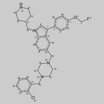 FCOc1ccc(-c2cn(CC3CCNCC3)c3ccc(CN4CCN(Cc5ccccc5Cl)CC4)cc23)cc1